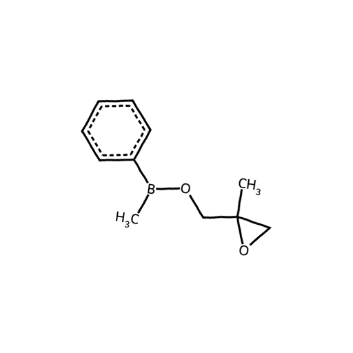 CB(OCC1(C)CO1)c1ccccc1